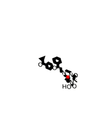 C[C@H](C(=O)N1CCN(CC[C@H](Oc2ccc(C(=O)C3CC3)cc2)c2ccccc2)CC1)N(C(=O)O)C(C)(C)C